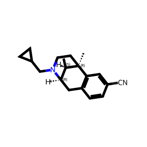 C[C@@H]1[C@H]2Cc3ccc(C#N)cc3[C@]1(C)CCN2CC1CC1